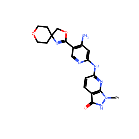 CC(C)n1[nH]c(=O)c2ccc(Nc3cc(N)c(C4=NC5(CCOCC5)CO4)cn3)nc21